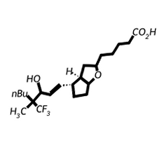 CCCCC(C)(C(O)/C=C/[C@H]1CCC2OC(CCCCC(=O)O)C[C@@H]21)C(F)(F)F